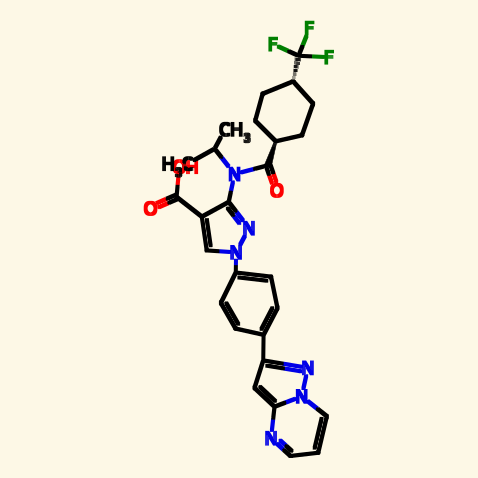 CC(C)N(c1nn(-c2ccc(-c3cc4ncccn4n3)cc2)cc1C(=O)O)C(=O)[C@H]1CC[C@H](C(F)(F)F)CC1